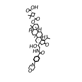 CC(C)C1=C2[C@H]3CC[C@@H]4[C@@]5(C)CC[C@H](OC(=O)[C@H]6C[C@@H](C(=O)O)C6(C)C)C(C)(C)[C@@H]5CC[C@@]4(C)[C@]3(C)CC[C@@]2([C@@H](O)CNC(=O)c2ccc(N3CCOCC3)cc2)CC1=O